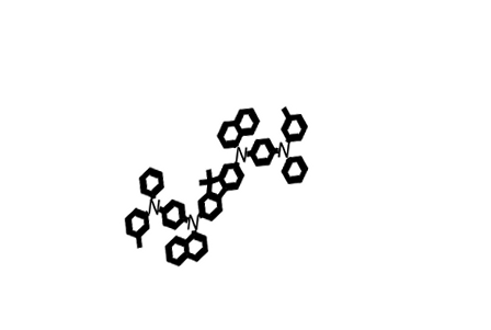 Cc1cccc(N(c2ccccc2)c2ccc(N(c3ccc4c(c3)C(C)(C)c3cc(N(c5ccc(N(c6ccccc6)c6cccc(C)c6)cc5)c5cccc6ccccc56)ccc3-4)c3cccc4ccccc34)cc2)c1